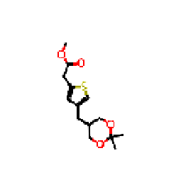 COC(=O)Cc1cc(CC2COC(C)(C)OC2)cs1